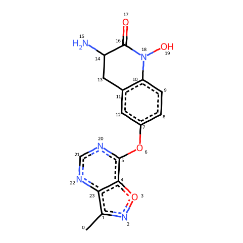 Cc1noc2c(Oc3ccc4c(c3)CC(N)C(=O)N4O)ncnc12